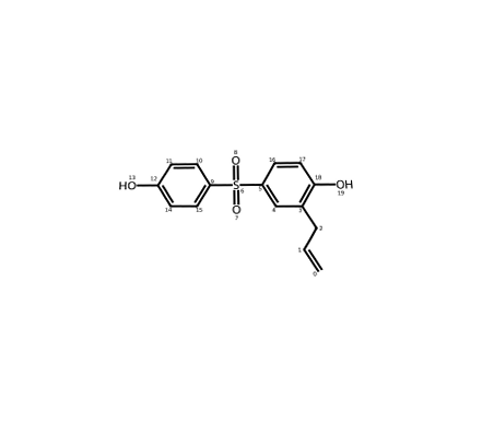 C=CCc1cc(S(=O)(=O)c2ccc(O)cc2)ccc1O